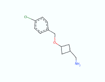 NCC1CC(OCc2ccc(Cl)cc2)C1